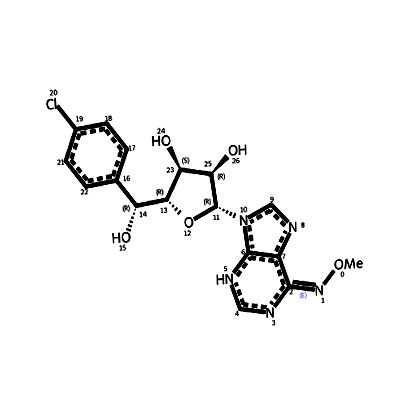 CO/N=c1/nc[nH]c2c1ncn2[C@@H]1O[C@H]([C@H](O)c2ccc(Cl)cc2)[C@@H](O)[C@H]1O